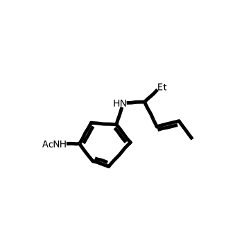 CC=CC(CC)Nc1cccc(NC(C)=O)c1